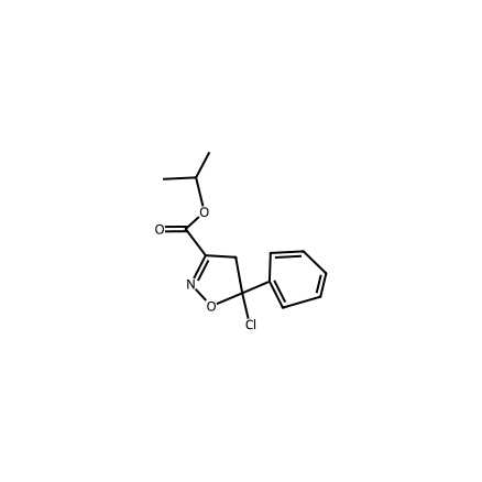 CC(C)OC(=O)C1=NOC(Cl)(c2ccccc2)C1